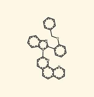 c1ccc(COc2ccccc2-c2nc3ccccc3n2-c2ccc3ccc4cccnc4c3n2)cc1